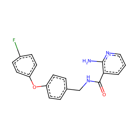 Nc1ncccc1C(=O)NCc1ccc(Oc2ccc(F)cc2)cc1